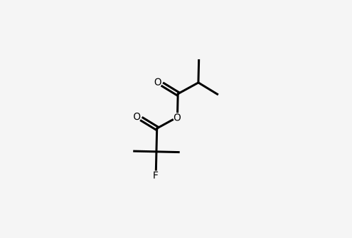 CC(C)C(=O)OC(=O)C(C)(C)F